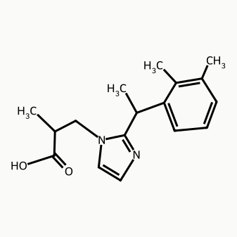 Cc1cccc(C(C)c2nccn2CC(C)C(=O)O)c1C